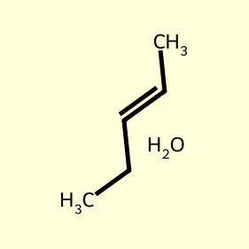 C/C=C/CC.O